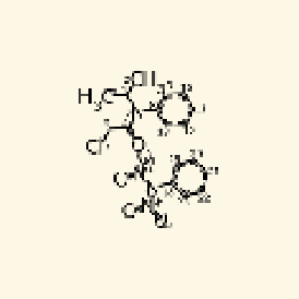 CC(C)N(C(=O)CCl)c1ccccc1.O=[N+]([O-])N(c1ccccc1)[N+](=O)[O-]